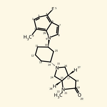 Cc1ccc(F)c2ccn([C@@H]3CCC[C@@H](N4C[C@@H]5CC(=O)N(C)[C@@H]5C4)C3)c12